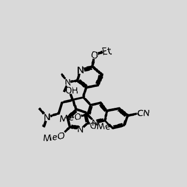 CCOc1ccc(C(c2cc3cc(C#N)ccc3nc2OC)C(O)(CCN(C)C)c2cc(OC)nc(OC)c2)c(N(C)C)n1